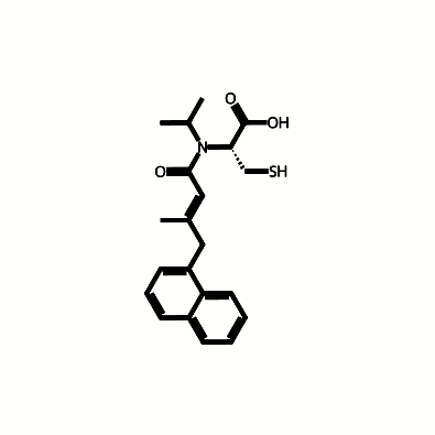 C/C(=C\C(=O)N(C(C)C)[C@@H](CS)C(=O)O)Cc1cccc2ccccc12